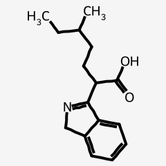 CCC(C)CCC(C(=O)O)C1=NCc2ccccc21